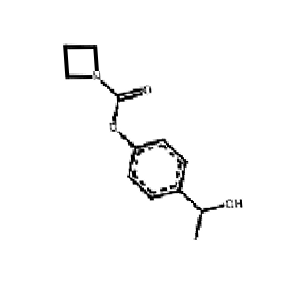 CC(O)c1ccc(OC(=O)N2CCC2)cc1